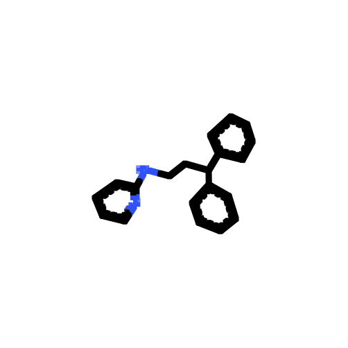 c1ccc(C(CCNc2ccccn2)c2ccccc2)cc1